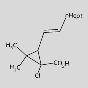 CCCCCCCC=CC1C(C)(C)C1(Cl)C(=O)O